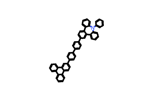 c1ccc(N2c3ccccc3-c3ccc(-c4ccc(-c5ccc(-c6ccc7c8ccccc8c8ccccc8c7c6)cc5)cc4)cc3-c3ccccc32)cc1